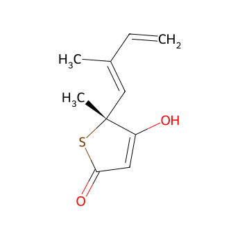 C=C/C(C)=C/[C@@]1(C)SC(=O)C=C1O